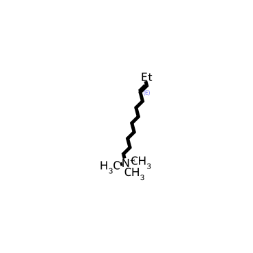 CC/C=C/CCCCCCCC[N+](C)(C)C